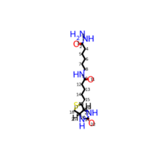 NNC(=O)CCCCCNC(=O)CCCC[C@@H]1SC[C@@H]2NC(=O)N[C@@H]21